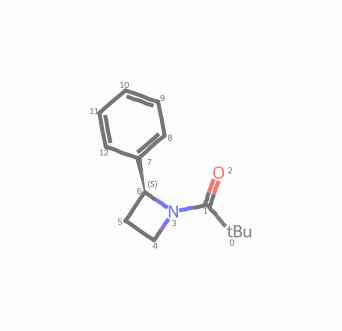 CC(C)(C)C(=O)N1CC[C@H]1c1ccccc1